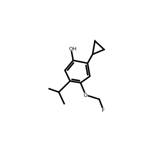 CC(C)c1cc(O)c(C2CC2)cc1OCF